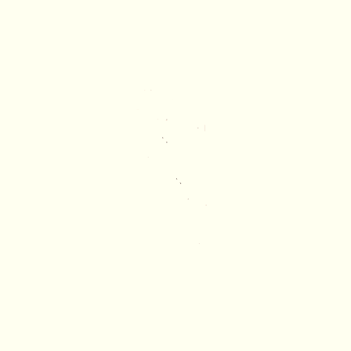 C[C@@H]1CN(c2ccc(I)cc2)CCN1C1COC1